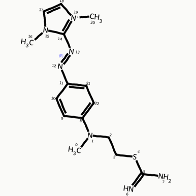 CN(CCSC(=N)N)c1ccc(/N=N/c2n(C)cc[n+]2C)cc1